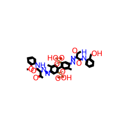 COc1ccccc1NC(=O)C(N=Nc1cc(S(=O)(=O)O)c(-c2cc(C)c(N=NC(C(C)=O)C(=O)Nc3ccccc3CO)cc2S(=O)(=O)O)cc1C)C(C)=O